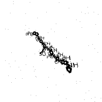 CCCOc1ccc2ccc(NC(=O)c3ccc(N=Nc4cc(OCCCS(=O)(=O)O)c(N=Nc5cc(C)c(N=Nc6cc(C)c(N=Nc7ccc8cc(Nc9ccccc9)ccc8c7O)cc6C)cc5C)cc4C)cc3)cc2c1